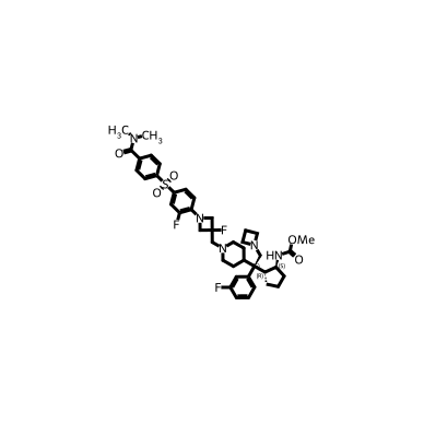 COC(=O)N[C@H]1CCC[C@@H]1[C@](CN1CCC1)(c1cccc(F)c1)C1CCN(CC2(F)CN(c3ccc(S(=O)(=O)c4ccc(C(=O)N(C)C)cc4)cc3F)C2)CC1